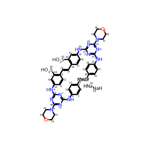 COc1ccc(Nc2nc(Nc3ccc(C=Cc4ccc(Nc5nc(Nc6ccc(OC)cc6)nc(N6CCOCC6)n5)cc4S(=O)(=O)O)c(S(=O)(=O)O)c3)nc(N3CCOCC3)n2)cc1.[NaH].[NaH]